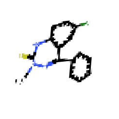 CN1N=C(c2ccccc2)c2cc(Cl)ccc2NC1=S